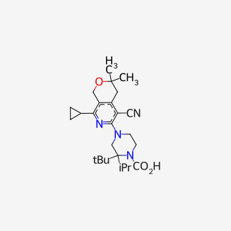 CC(C)C1(C(C)(C)C)CN(c2nc(C3CC3)c3c(c2C#N)CC(C)(C)OC3)CCN1C(=O)O